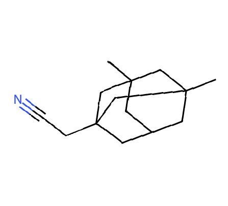 CC12CC3CC(C)(C1)CC(CC#N)(C3)C2